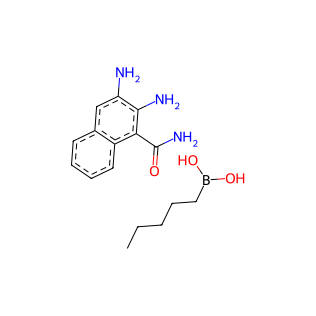 CCCCCB(O)O.NC(=O)c1c(N)c(N)cc2ccccc12